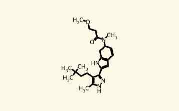 COCCC(=O)N(C)C1C=Cc2cc(-c3n[nH]c(C)c3CCC(C)(C)C)[nH]c2C1